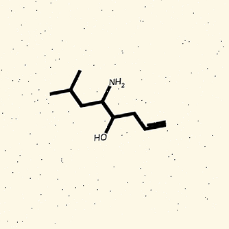 C=CCC(O)C(N)CC(C)C